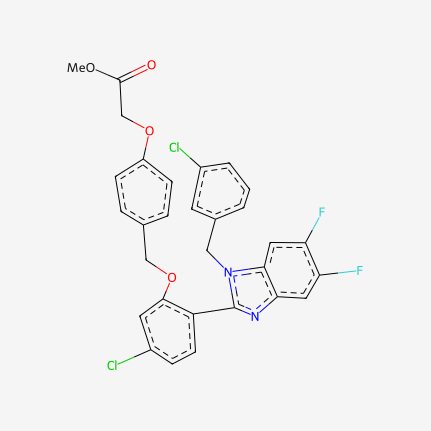 COC(=O)COc1ccc(COc2cc(Cl)ccc2-c2nc3cc(F)c(F)cc3n2Cc2cccc(Cl)c2)cc1